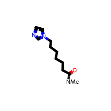 CNC(=O)CCCCCCn1c[c]nc1